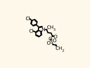 C=CCS(=O)(=O)OC(=O)CCC(C)n1cc(-c2ccc(Cl)cc2)c2c(Cl)cccc21